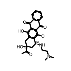 CC(=O)[C@]1(O)Cc2c(O)c3c(c(O)c2[C@@H](NCCN(C)C)C1)C(=O)c1ccccc1C3=O